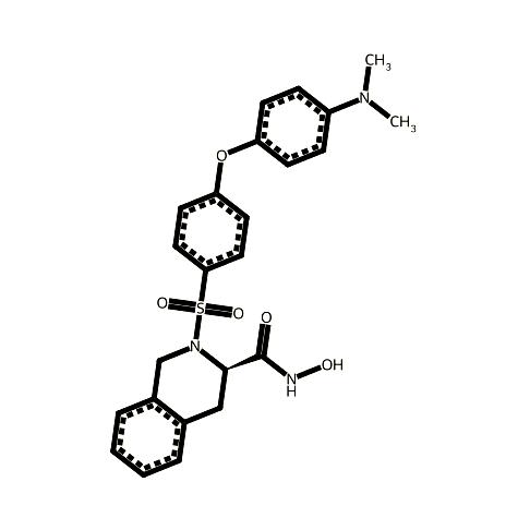 CN(C)c1ccc(Oc2ccc(S(=O)(=O)N3Cc4ccccc4C[C@@H]3C(=O)NO)cc2)cc1